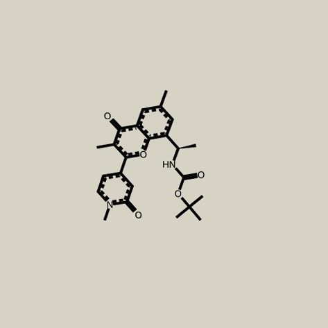 Cc1cc([C@@H](C)NC(=O)OC(C)(C)C)c2oc(-c3ccn(C)c(=O)c3)c(C)c(=O)c2c1